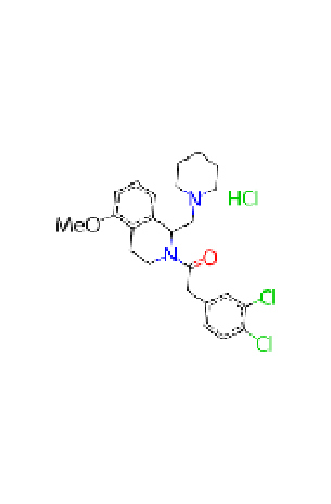 COc1cccc2c1CCN(C(=O)Cc1ccc(Cl)c(Cl)c1)C2CN1CCCCC1.Cl